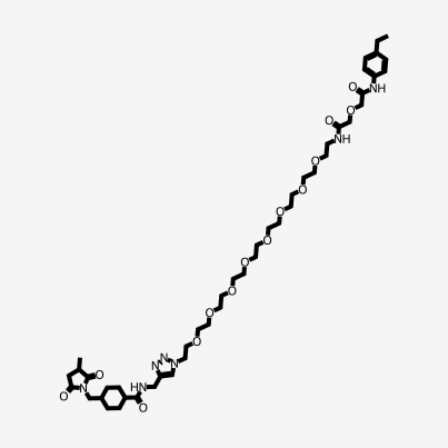 CCc1ccc(NC(=O)COCC(=O)NCCOCCOCCOCCOCCOCCOCCOCCOCCn2cc(CNC(=O)C3CCC(CN4C(=O)CC(C)C4=O)CC3)nn2)cc1